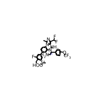 Cc1nc(C(F)F)cn1-c1ccc(-c2cc(F)c(CO)c([S+](C)[O-])c2)cc1N(N)/C(=C\N)c1ccc(OC(F)(F)F)cc1